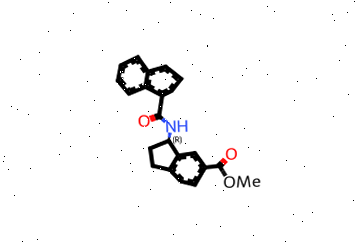 COC(=O)c1ccc2c(c1)[C@H](NC(=O)c1cccc3ccccc13)CC2